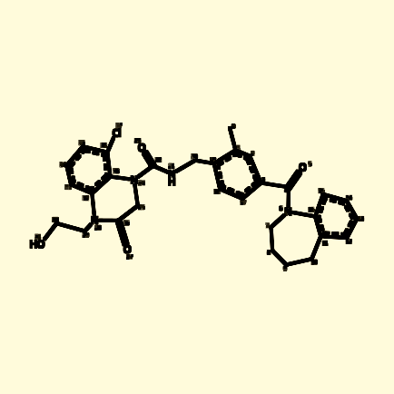 Cc1cc(C(=O)N2CCCCc3ccccc32)ccc1CNC(=O)N1CC(=O)N(CCO)c2cccc(Cl)c21